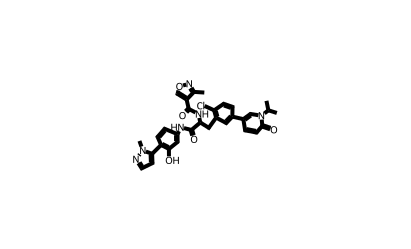 Cc1nocc1C(=O)NC(Cc1cc(-c2ccc(=O)n(C(C)C)c2)ccc1Cl)C(=O)Nc1ccc(-c2ccnn2C)c(O)c1